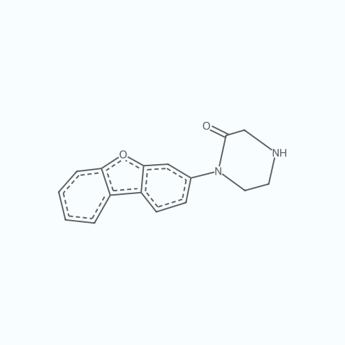 O=C1CNCCN1c1ccc2c(c1)oc1ccccc12